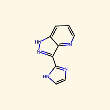 c1cnc2c(-c3ncc[nH]3)n[nH]c2c1